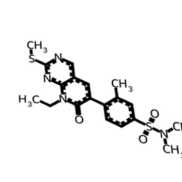 CCn1c(=O)c(-c2ccc(S(=O)(=O)N(C)C)cc2C)cc2cnc(SC)nc21